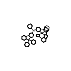 c1ccc(N(c2ccc3c(c2)-c2ccccc2C3(c2ccccc2)c2ccccc2)c2ccc3c(c2)C2(c4ccccc4-3)c3ccccc3-c3cccc4ccc(C5CCCCC5)c2c34)cc1